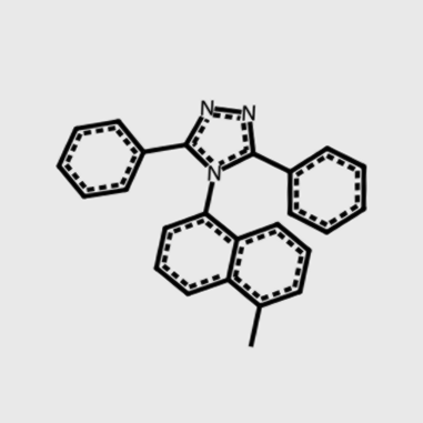 Cc1cccc2c(-n3c(-c4ccccc4)nnc3-c3ccccc3)cccc12